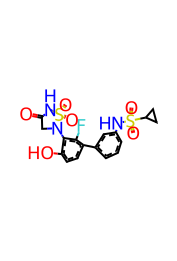 O=C1CN(c2c(O)ccc(-c3cccc(NS(=O)(=O)C4CC4)c3)c2F)S(=O)(=O)N1